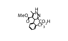 COC(=O)C1=C(C)NN=C(C(=O)O)C1c1ccccc1C(F)(F)F